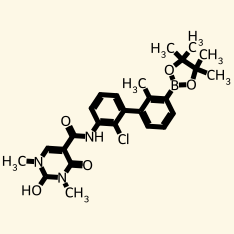 Cc1c(B2OC(C)(C)C(C)(C)O2)cccc1-c1cccc(NC(=O)C2=CN(C)C(O)N(C)C2=O)c1Cl